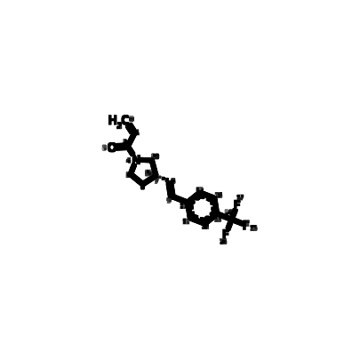 C=CC(=O)N1CC[C@@H](C=Cc2ccc(C(F)(F)F)cc2)C1